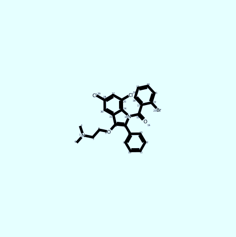 CN(C)CCOc1c(-c2ccccc2)n(C(=O)c2ccccc2Br)c2c(Cl)cc(Cl)cc12